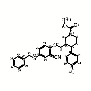 CC(C)(C)OC(=O)N1CCC(c2ccc(Cl)cc2)C(COc2ccc(SCc3ccccc3)cc2C#N)C1